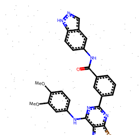 COc1ccc(Nc2nc(-c3cccc(C(=O)Nc4ccc5[nH]ncc5c4)c3)nc3scnc23)cc1OC